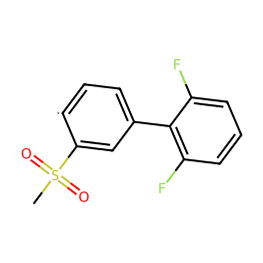 CS(=O)(=O)c1[c]ccc(-c2c(F)cccc2F)c1